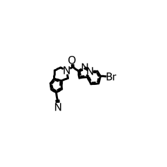 N#Cc1ccc2c(c1)CN(C(=O)c1cc3ccc(Br)cn3n1)CC2